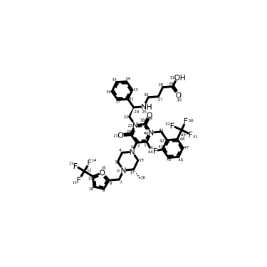 Cc1c(N2CCN(Cc3ccc(C(F)(F)F)o3)[C@@H](C)C2)c(=O)n(C[C@H](NCCCC(=O)O)c2ccccc2)c(=O)n1Cc1c(F)cccc1C(F)(F)F